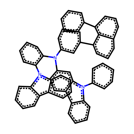 c1ccc(-c2cccc3cccc(-c4cccc(N(c5ccc6c7ccccc7n(-c7ccccc7)c6c5)c5ccccc5-n5c6ccccc6c6ccccc65)c4)c23)cc1